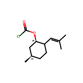 CC(C)=CC1CC[C@@H](C)C[C@H]1OC(=O)Cl